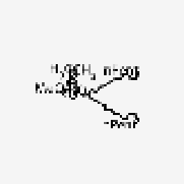 CCCCC/C=C\C/C=C\CCCCCCCCC(CCCCCCCC/C=C\C/C=C\CCCCC)COC(=O)N1C[C@@H](N(C)C)C[C@H]1C(=O)OC